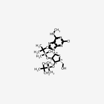 CNc1nc(Cl)nc2c1ncn2[C@@H]1S[C@H](CO)[C@@H](O[Si](C)(C)C(C)(C)C)[C@H]1O[Si](C)(C)C(C)(C)C